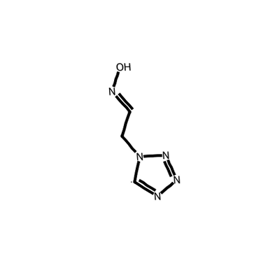 ON=CCn1[c]nnn1